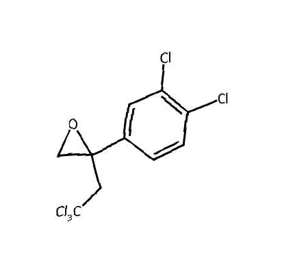 Clc1ccc(C2(CC(Cl)(Cl)Cl)CO2)cc1Cl